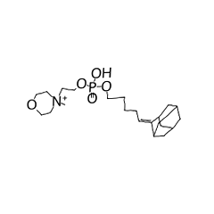 C[N+]1(CCOP(=O)(O)OCCCCC=C2C3CC4CC(C3)CC2C4)CCOCC1